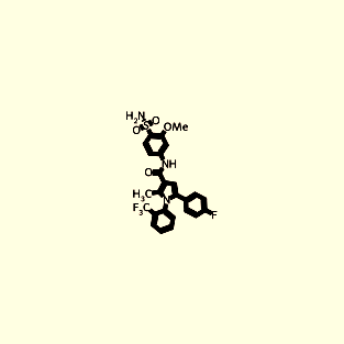 COc1cc(NC(=O)c2cc(-c3ccc(F)cc3)n(-c3ccccc3C(F)(F)F)c2C)ccc1S(N)(=O)=O